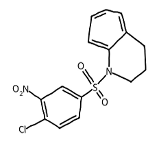 O=[N+]([O-])c1cc(S(=O)(=O)N2CCCc3ccccc32)ccc1Cl